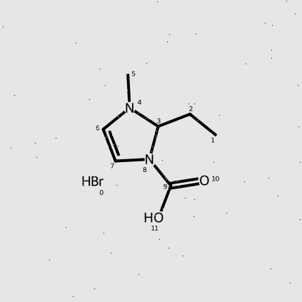 Br.CCC1N(C)C=CN1C(=O)O